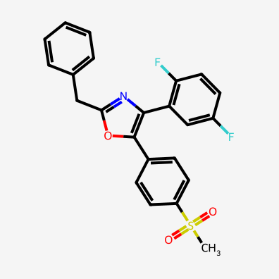 CS(=O)(=O)c1ccc(-c2oc(Cc3ccccc3)nc2-c2cc(F)ccc2F)cc1